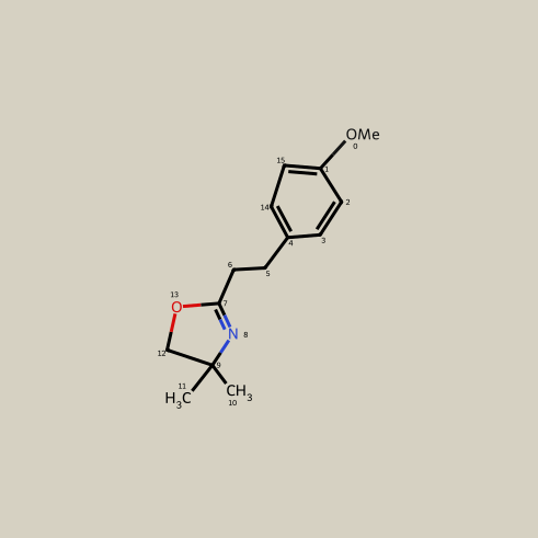 COc1ccc(CCC2=NC(C)(C)CO2)cc1